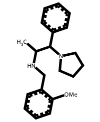 COc1ccccc1CNC(C)C(c1ccccc1)N1CCCC1